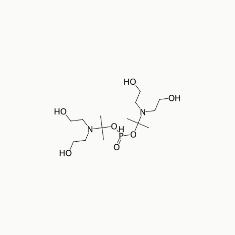 CC(C)(O[PH](=O)OC(C)(C)N(CCO)CCO)N(CCO)CCO